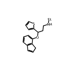 CCNCCC(Oc1cccc2c1CC=C2)c1cccs1